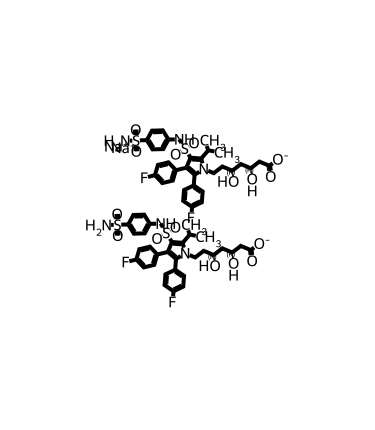 CC(C)c1c(S(=O)(=O)Nc2ccc(S(N)(=O)=O)cc2)c(-c2ccc(F)cc2)c(-c2ccc(F)cc2)n1CC[C@@H](O)C[C@@H](O)CC(=O)[O-].CC(C)c1c(S(=O)(=O)Nc2ccc(S(N)(=O)=O)cc2)c(-c2ccc(F)cc2)c(-c2ccc(F)cc2)n1CC[C@@H](O)C[C@@H](O)CC(=O)[O-].[Na+].[Na+]